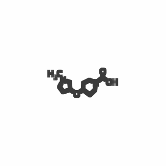 CN1CCC(OC2CCN(C(=O)O)CC2)C1